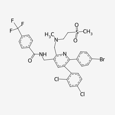 CN(CCS(C)(=O)=O)Cc1nc(-c2ccc(Br)cc2)c(-c2ccc(Cl)cc2Cl)cc1CNC(=O)c1ccc(C(F)(F)F)cc1